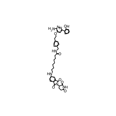 Nc1nnc(-c2ccccc2O)cc1OCCc1ccc(CNC(=O)CCCCCCCCNc2ccc3c(c2)C(=O)N(C2CCC(=O)NC2=O)C3=O)cc1